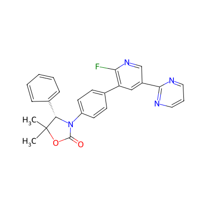 CC1(C)OC(=O)N(c2ccc(-c3cc(-c4ncccn4)cnc3F)cc2)[C@H]1c1ccccc1